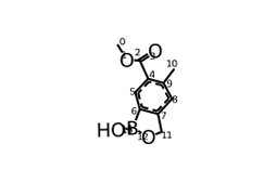 COC(=O)c1cc2c(cc1C)COB2O